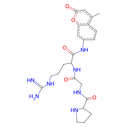 Cc1cc(=O)oc2cc(NC(=O)C(CCCNC(=N)N)NC(=O)CNC(=O)C3CCCN3)ccc12